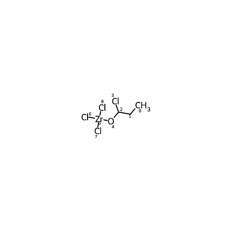 CCC(Cl)[O][Zr]([Cl])([Cl])[Cl]